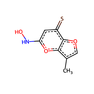 Cc1coc2c(=S)cc(NO)oc12